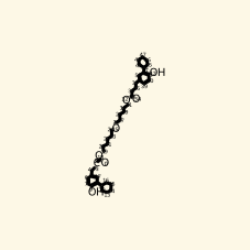 O=C(CCCc1ccc(O)c(C2CCCCC2)c1)OCCCCCCOCCCCCCOC(=O)CCCc1ccc(O)c(C2CCCCC2)c1